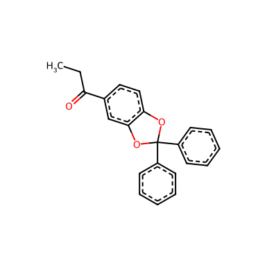 CCC(=O)c1ccc2c(c1)OC(c1ccccc1)(c1ccccc1)O2